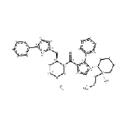 COC[C@]1(O)CCCC[C@H]1n1cnc(C(=O)N2CCNC[C@H]2Cc2nnc(-c3ccccc3)o2)c1-c1ccccc1.Cl